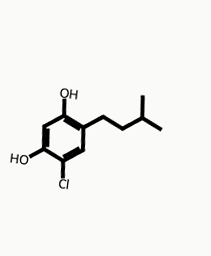 CC(C)CCc1cc(Cl)c(O)cc1O